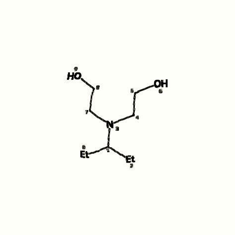 CCC(CC)N(CCO)CCO